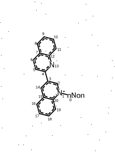 CCCCCCCCC[n+]1cc(-c2ccc3ccccc3n2)cc2ccccc21